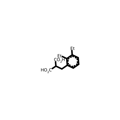 CCc1cccc(CC(C(=O)O)C(=O)O)c1CC